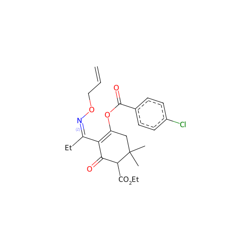 C=CCO/N=C(/CC)C1=C(OC(=O)c2ccc(Cl)cc2)CC(C)(C)C(C(=O)OCC)C1=O